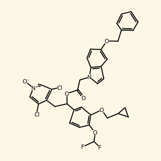 O=C(Cn1ccc2cc(OCc3ccccc3)ccc21)OC(Cc1c(Cl)c[n+]([O-])cc1Cl)c1ccc(OC(F)F)c(OCC2CC2)c1